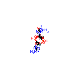 Nc1nc2c(ncn2[C@@H]2O[C@@H]3COP(=O)(O)CO[C@H]4[C@@H](F)[C@H](n5cnc6c(N)ncnc65)O[C@@H]4COP(=O)(O)O[C@@H]2[C@@H]3F)c(=O)[nH]1